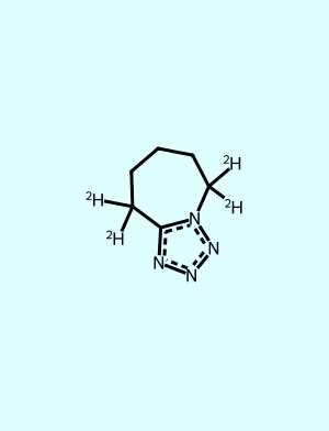 [2H]C1([2H])CCCC([2H])([2H])n2nnnc21